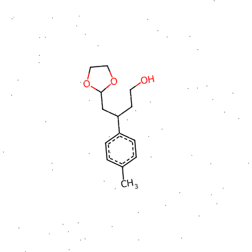 Cc1ccc(C(CCO)CC2OCCO2)cc1